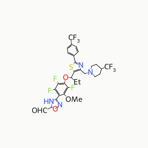 CCC(Oc1c(F)c(F)c(C2=NOC(C=O)N2)c(OC)c1F)c1sc(-c2ccc(C(F)(F)F)cc2)nc1CN1CCC(C(F)(F)F)CC1